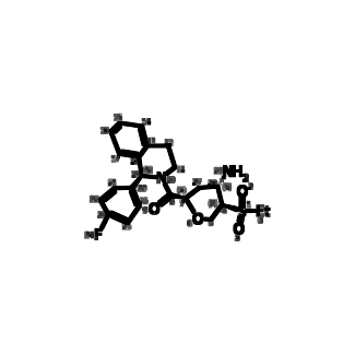 CCS(=O)(=O)[C@H]1CO[C@@H](C(=O)N2CCc3ccccc3[C@@H]2c2ccc(F)cc2)C[C@@H]1N